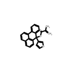 C=C(C)C(=O)OC1(c2ccoc2)c2ccccc2-c2cccc3cccc1c23